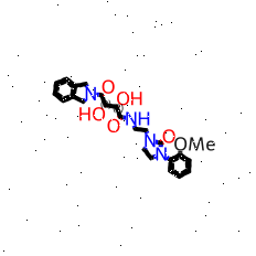 COc1ccccc1N1CCN(CCNC(=O)[C@H](O)[C@@H](O)C(=O)N2Cc3ccccc3C2)C1=O